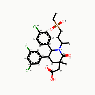 CCS(=O)(=O)CCC(C)N1C(=O)C(C)(CC(=O)O)CC(c2cc(F)cc(Cl)c2)C1c1ccc(Cl)cc1